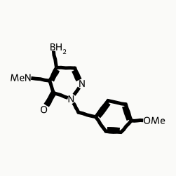 Bc1cnn(Cc2ccc(OC)cc2)c(=O)c1NC